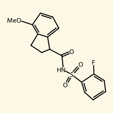 COc1cccc2c1CCC2C(=O)NS(=O)(=O)c1ccccc1F